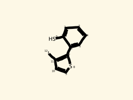 Sc1ccccc1-c1sccc1I